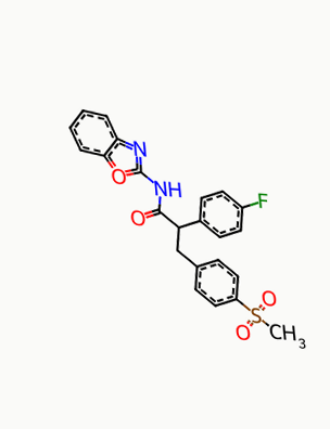 CS(=O)(=O)c1ccc(CC(C(=O)Nc2nc3ccccc3o2)c2ccc(F)cc2)cc1